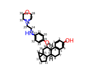 Oc1ccc2c(c1)CC[C@H]1C3CCC4CC43C[C@H](Oc3ccc(NCCN4CCOCC4)cc3)[C@H]21